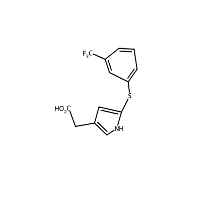 O=C(O)Cc1c[nH]c(Sc2cccc(C(F)(F)F)c2)c1